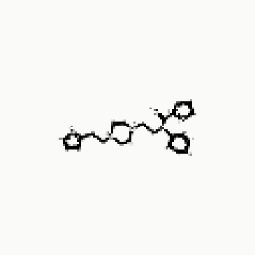 O=C(c1cccs1)N(CCN1CCN(CCc2cccs2)CC1)c1ccccc1